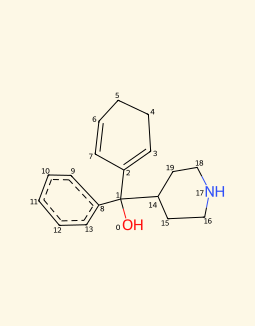 OC(C1=CCCC=C1)(c1ccccc1)C1CCNCC1